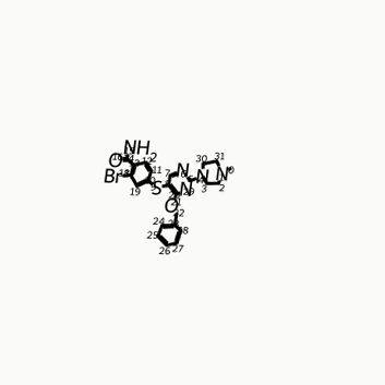 CN1CCN(c2ncc(Sc3ccc(C(N)=O)c(Br)c3)c(OCc3ccccc3)n2)CC1